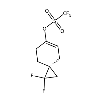 O=S(=O)(OC1=CC[C@]2(CC1)CC2(F)F)C(F)(F)F